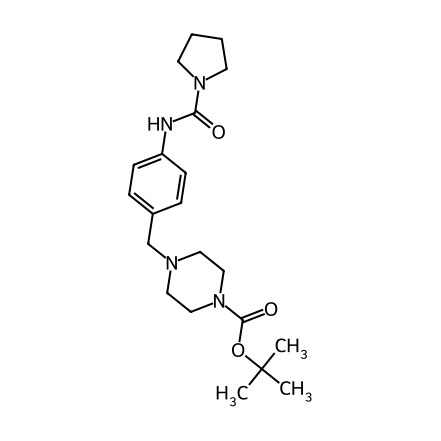 CC(C)(C)OC(=O)N1CCN(Cc2ccc(NC(=O)N3CCCC3)cc2)CC1